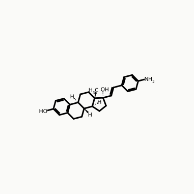 C[C@]12CC[C@@H]3c4ccc(O)cc4CC[C@H]3[C@@H]1CC[C@]2(O)C=Cc1ccc(N)cc1